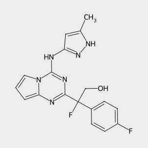 Cc1cc(Nc2nc(C(F)(CO)c3ccc(F)cc3)nc3cccn23)n[nH]1